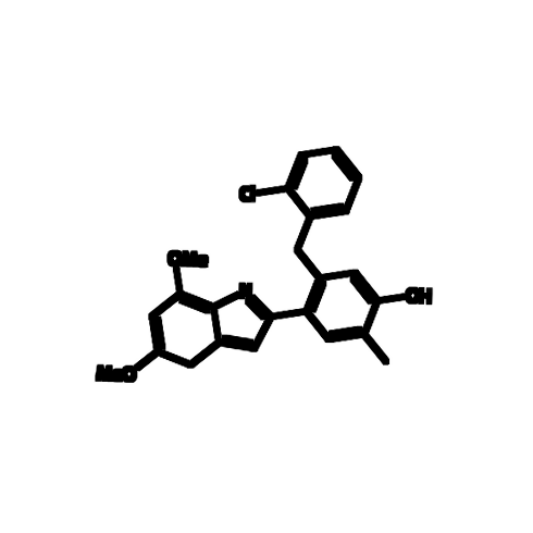 COC1=CC(OC)=C2N=C(c3cc(C)c(O)cc3Cc3ccccc3Cl)C=C2C1